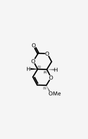 CO[C@@H]1C=C[C@@H]2OC(=O)OC[C@H]2O1